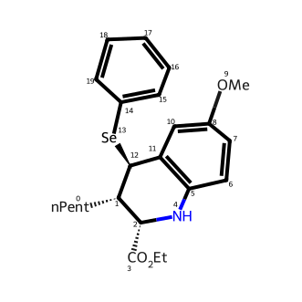 CCCCC[C@H]1[C@@H](C(=O)OCC)Nc2ccc(OC)cc2[C@@H]1[Se]c1ccccc1